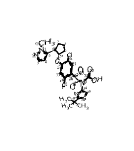 Cn1nccc1[C@H]1CCC[C@@H]1Oc1cc(F)c(S(=O)(=O)N(C(=O)O)c2csc(C(C)(C)C)n2)cc1Cl